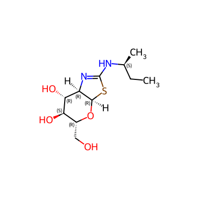 CC[C@H](C)NC1=N[C@@H]2[C@@H](O)[C@H](O)[C@@H](CO)O[C@@H]2S1